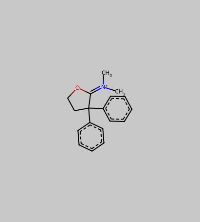 C[N+](C)=C1OCCC1(c1ccccc1)c1ccccc1